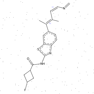 C=N/C=C\C(C)=C(/C)c1ccc2nc(NC(=O)C3CC(F)C3)sc2c1